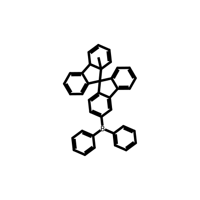 CC12C=CC=CC1c1ccccc1C21c2ccccc2-c2cc(B(c3ccccc3)c3ccccc3)ccc21